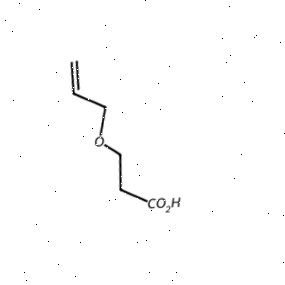 C=CCOCCC(=O)O